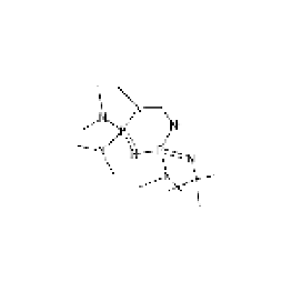 CN(C)P1(=NC(C)(C)C)N=P(N(C)C)(N(C)C)N(C)CN1C